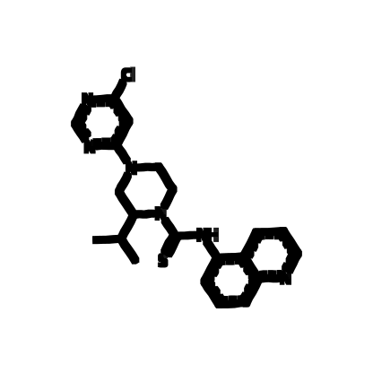 CC(C)C1CN(c2cc(Cl)ncn2)CCN1C(=S)Nc1cccc2ncccc12